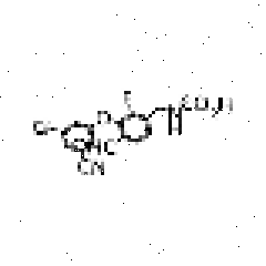 N#Cc1cc(Cl)cc(Oc2c(C=O)ccc(CNC(=O)O)c2F)c1